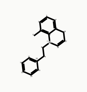 Cc1cccc2c1N(CCc1ccccc1)C=CC2